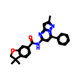 Cc1cc2nc(NC(=O)c3ccc4c(c3)OCC4(C)C)cc(-c3ccccc3)n2n1